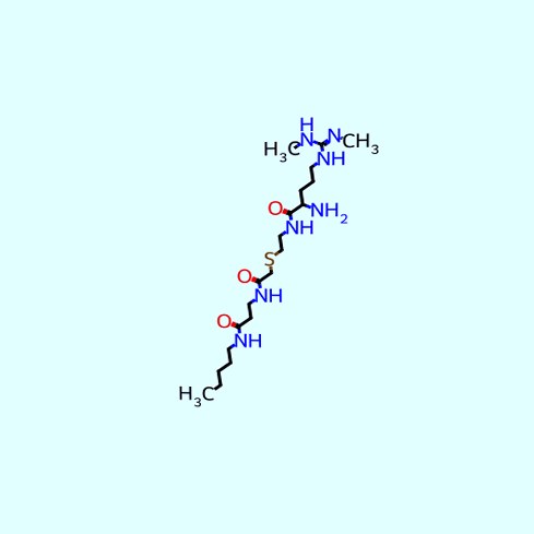 CCCCCNC(=O)CCNC(=O)CSCCNC(=O)C(N)CCCN/C(=N\C)NC